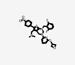 CN(C)Cc1c(-c2ccc([N+](=O)[O-])cc2)sc2c1CN(c1cccc(OC3COC3)n1)CN2Cc1c(F)cccc1F